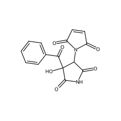 O=C1NC(=O)C(O)(C(=O)c2ccccc2)C1N1C(=O)C=CC1=O